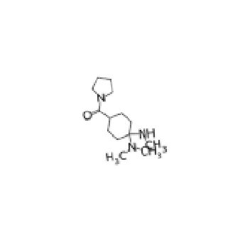 CNC1(N(C)C)CCC(C(=O)N2CCCC2)CC1